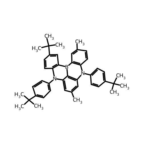 Cc1ccc2c(c1)B1c3cc(C(C)(C)C)ccc3N(c3ccc(C(C)(C)C)cc3)c3cc(C)cc(c31)N2c1ccc(C(C)(C)C)cc1